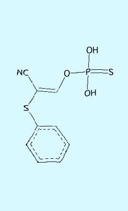 N#CC(=COP(O)(O)=S)Sc1ccccc1